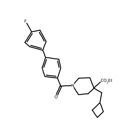 CCOC(=O)C1(CC2CCC2)CCN(C(=O)c2ccc(-c3ccc(F)cc3)cc2)CC1